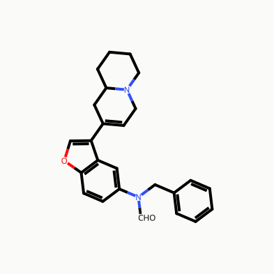 O=CN(Cc1ccccc1)c1ccc2occ(C3=CCN4CCCCC4C3)c2c1